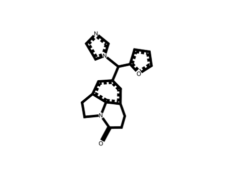 O=C1CCc2cc(C(c3ccco3)n3ccnc3)cc3c2N1CC3